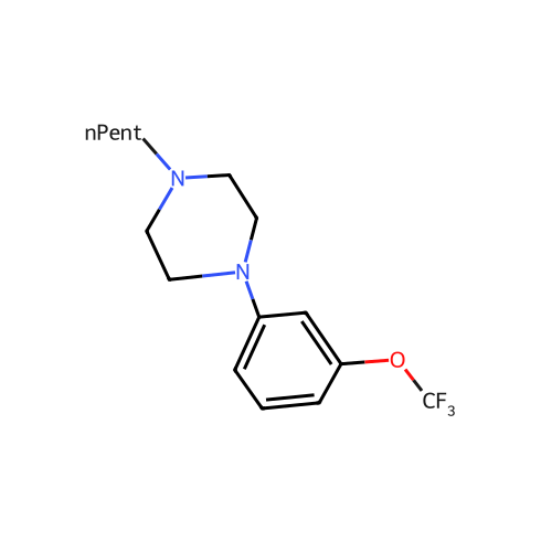 [CH2]CCCCN1CCN(c2cccc(OC(F)(F)F)c2)CC1